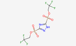 O=S(=O)(OCC(F)(F)F)c1n[nH]c(S(=O)(=O)OCC(F)(F)F)n1